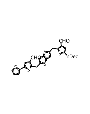 CCCCCCCCCCc1cc(C=O)c(Cc2cc3sc(Cc4sc(-c5cccs5)cc4C=O)cc3s2)s1